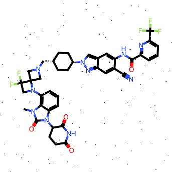 Cn1c(=O)n(C2CCC(=O)NC2=O)c2cccc(N3CC(F)(F)C34CN(C[C@H]3CC[C@H](n5cc6cc(NC(=O)c7cccc(C(F)(F)F)n7)c(C#N)cc6n5)CC3)C4)c21